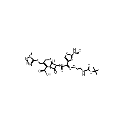 Cn1nnnc1SCC1=C(C(=O)O)N2C(=O)C(NC(=O)/C(=N/OCCNC(=O)OC(C)(C)C)c3csc(NC=O)n3)[C@H]2SC1